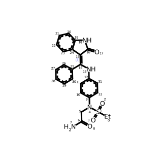 CCS(=O)(=O)N(CC(N)=O)c1ccc(N/C(=C2\C(=O)Nc3ccccc32)c2ccccc2)cc1